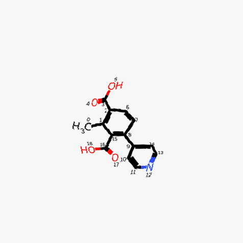 Cc1c(C(=O)O)ccc(-c2ccncc2)c1C(=O)O